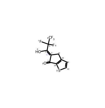 O=C1/C(=C(\O)C(F)(F)C(F)(F)F)Cc2ccsc21